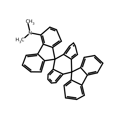 CN(C)c1cccc2c1-c1ccccc1C21c2ccccc2C2(c3ccccc3-c3ccccc32)c2ccccc21